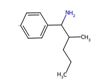 CCCC(C)C(N)c1cc[c]cc1